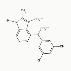 CCOC(=O)c1c(C)n(C(C)C)c2cccc(C(C(=O)OCC)c3cc(O)cc(Cl)c3)c12